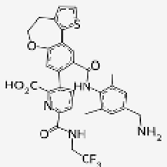 Cc1cc(CN)cc(C)c1NC(=O)c1cc2c(cc1-c1ccc(C(=O)NCC(F)(F)F)nc1C(=O)O)OCCc1ccsc1-2